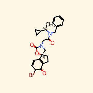 C[C@@H](C1CC1)N(Cc1ccccc1)C(=O)CN1C[C@]2(CCC3=C2C=CC(Br)C3=O)OC1=O